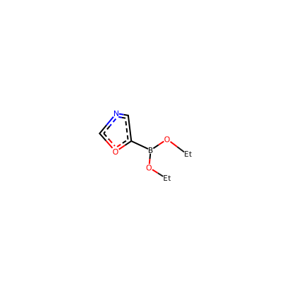 CCOB(OCC)c1cnco1